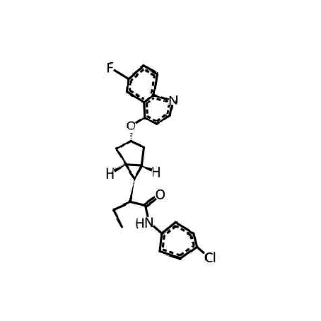 CCC(C(=O)Nc1ccc(Cl)cc1)[C@H]1[C@@H]2C[C@H](Oc3ccnc4ccc(F)cc34)C[C@@H]21